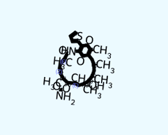 CC1=C2C[C@@H](C)C[C@H](C)[C@H](O)[C@@H](C)/C=C(\C)[C@H](OC(N)=O)[C@@H](C)/C=C\C=C(/C)C(=O)NC(=C(c3cccs3)C1=O)C2=O